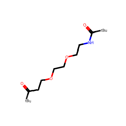 CC(C)(C)C(=O)CCOCCOCCNC(=O)C(C)(C)C